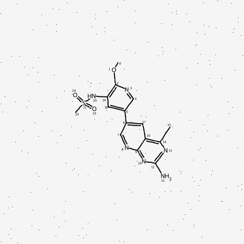 COc1ncc(-c2cnc3nc(N)nc(C)c3c2)cc1NS(C)(=O)=O